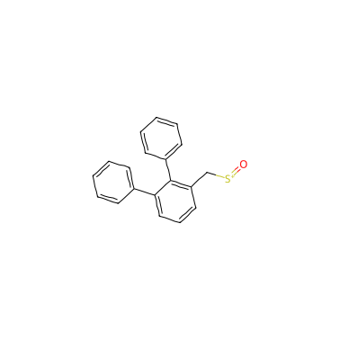 O=[S+]Cc1cccc(-c2ccccc2)c1-c1ccccc1